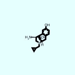 N[C@H]1C[C@]23CCN(CC4CC4)[C@H](Cc4ccc(O)cc42)[C@]3(O)C1